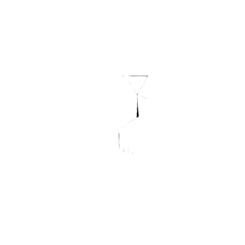 [SiH3]OC[C@@H]1CO1